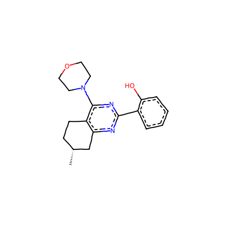 C[C@@H]1CCc2c(nc(-c3ccccc3O)nc2N2CCOCC2)C1